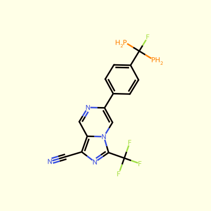 N#Cc1nc(C(F)(F)F)n2cc(-c3ccc(C(F)(P)P)cc3)ncc12